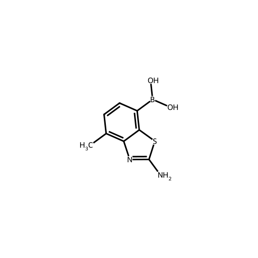 Cc1ccc(B(O)O)c2sc(N)nc12